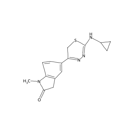 CN1C(=O)Cc2cc(C3=NN=C(NC4CC4)SC3)ccc21